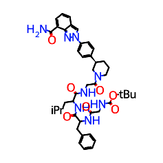 CC(C)CC(NC(=O)C(Cc1ccccc1)NC(=O)CNC(=O)OC(C)(C)C)C(=O)NCC(=O)N1CCC[C@H](c2ccc(-n3cc4cccc(C(N)=O)c4n3)cc2)C1